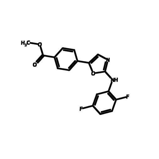 COC(=O)c1ccc(-c2cnc(Nc3cc(F)ccc3F)o2)cc1